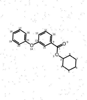 O=C(OC1CCCCC1)c1cccc(Oc2ccccc2)c1